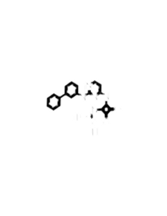 C[C@@H](Nc1c(Nc2ccnc(Nc3cccc(-c4ccccc4)c3)n2)c(=O)c1=O)C(C)(C)C